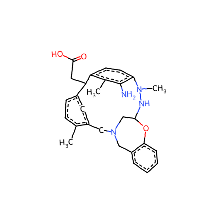 Cc1ccc2cc1CN1Cc3ccccc3OC(C1)NN(C)c1ccc(c(C)c1N)C2CC(=O)O